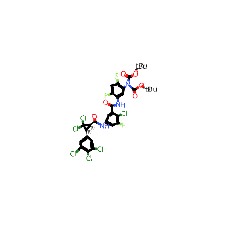 CC(C)(C)OC(=O)N(C(=O)OC(C)(C)C)c1cc(NC(=O)c2cc(NC(=O)[C@H]3[C@H](c4cc(Cl)c(Cl)c(Cl)c4)C3(Cl)Cl)cc(F)c2Cl)c(F)cc1F